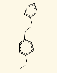 COc1ccc(CSc2c[nH]cn2)cc1